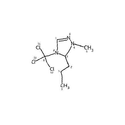 CCCC1N(C)N=CN1C(Cl)(Cl)Cl